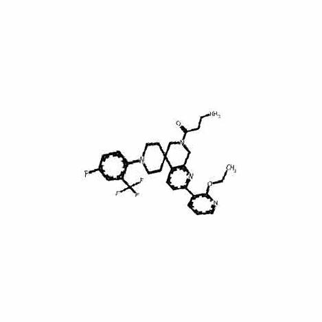 CCOc1ncccc1-c1ccc2c(n1)CN(C(=O)CCN)CC21CCN(c2ccc(F)cc2C(F)(F)F)CC1